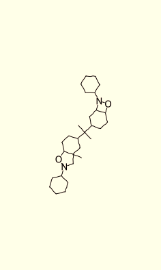 CC12CC(C(C)(C)C3CCC4ON(C5CCCCC5)C4C3)CCC1ON(C1CCCCC1)C2